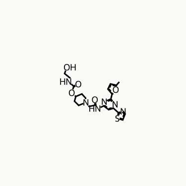 Cc1ccc(-c2nc(NC(=O)CN3CCC(OC(=O)NCCO)CC3)cc(-c3nccs3)n2)o1